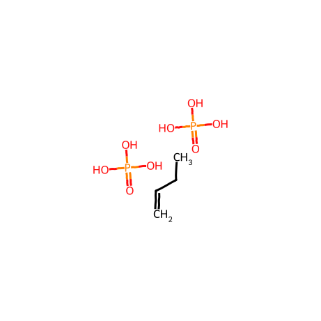 C=CCC.O=P(O)(O)O.O=P(O)(O)O